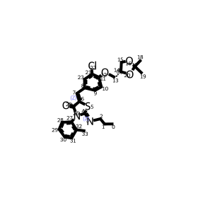 CCC/N=C1\S/C(=C\c2ccc(OC[C@@H]3COC(C)(C)O3)c(Cl)c2)C(=O)N1c1ccccc1C